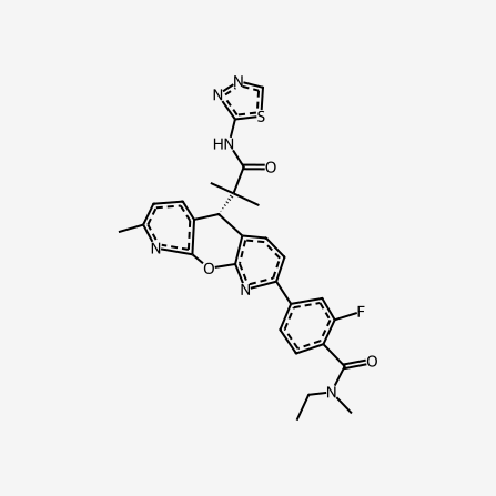 CCN(C)C(=O)c1ccc(-c2ccc3c(n2)Oc2nc(C)ccc2[C@@H]3C(C)(C)C(=O)Nc2nncs2)cc1F